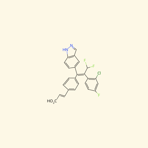 O=C(O)C=Cc1ccc(C(=C(c2ccc(F)cc2Cl)C(F)F)c2ccc3[nH]ncc3c2)cc1